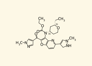 CCOC(=O)N(c1c(C(=O)c2cnn(C)c2)oc2ccc(C3=CN(C)NC3)nc12)[C@H]1CCO[C@@H](CC)C1